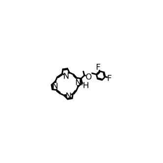 [2H]C1=C(C(C)OCc2ccc(F)cc2F)C2=CC3=NC(=CC4=NC(=CC5=NC(=CC1=N2)C=C5)C=C4)C=C3